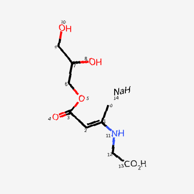 CC(=CC(=O)OCC(O)CO)NCC(=O)O.[NaH]